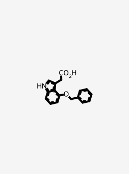 O=C(O)Cc1c[nH]c2cccc(OCc3ccccc3)c12